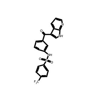 O=C(c1cccc(NS(=O)(=O)c2ccc(C(F)(F)F)cc2)c1)c1c[nH]c2ncccc12